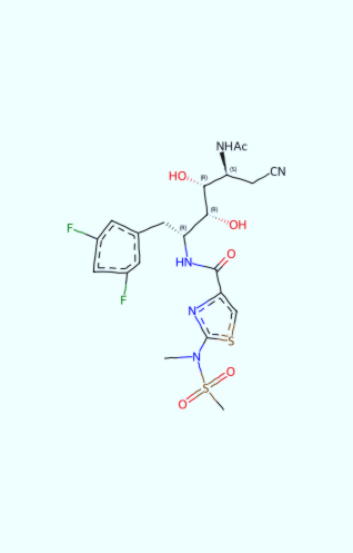 CC(=O)N[C@@H](CC#N)[C@@H](O)[C@H](O)[C@@H](Cc1cc(F)cc(F)c1)NC(=O)c1csc(N(C)S(C)(=O)=O)n1